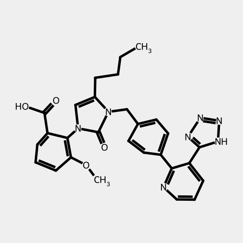 CCCCc1cn(-c2c(OC)cccc2C(=O)O)c(=O)n1Cc1ccc(-c2ncccc2-c2nnn[nH]2)cc1